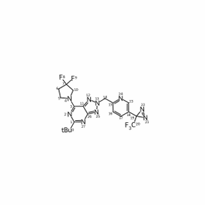 CC(C)(C)c1nc(N2CCC(F)(F)C2)c2nn(Cc3ccc(C4(C(F)(F)F)N=N4)cn3)nc2n1